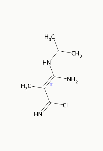 C/C(C(=N)Cl)=C(/N)NC(C)C